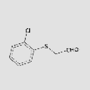 O=[C]CSc1ccccc1Cl